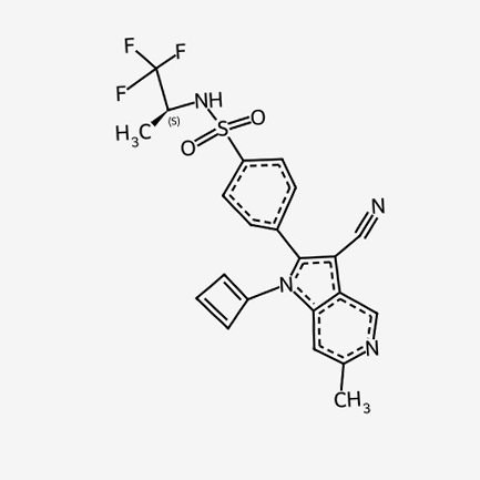 Cc1cc2c(cn1)c(C#N)c(-c1ccc(S(=O)(=O)N[C@@H](C)C(F)(F)F)cc1)n2C1=CC=C1